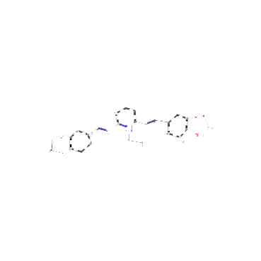 CC(C)C[n+]1c(/C=C/c2ccc3c(c2)OCCC3)cccc1/C=C/c1ccc2c(c1)OCCO2